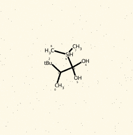 CC(C(C)(C)C)C(O)(O)[SiH](C)C